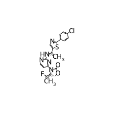 C[C@H](Nc1nccc(N2C(=O)OC[C@@H]2[C@H](C)F)n1)c1cnc(-c2ccc(Cl)cc2)s1